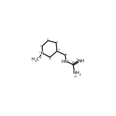 CN1CCCC(CNC(=N)N)C1